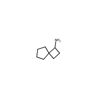 NC1CCC12CCCC2